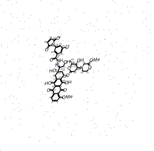 COc1cccc2c1C(=O)c1c(O)c3c(c(O)c1C2=O)C[C@@](O)(/C(CO)=N/NC(=O)c1cc(Cl)cc(N2C(=O)C=CC2=O)c1)C[C@@H]3O[C@H]1CC(N2CCO[C@H](OC)C2)[C@H](O)[C@H](C)O1